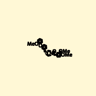 COc1ccc(CC(=O)N2CCCN(Cc3cccc(Oc4ccccc4OC)c3)CC2)cc1OC